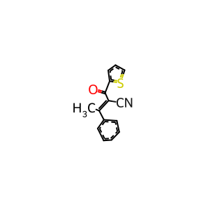 C/C(=C(/C#N)C(=O)c1cccs1)c1ccccc1